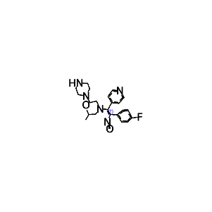 CC(C)CN(CC(=O)N1CCNCC1)/C(=C(\N=O)c1ccc(F)cc1)c1ccncc1